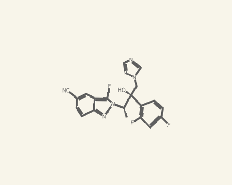 C[C@@H](n1nc2ccc(C#N)cc2c1F)[C@](O)(Cn1cncn1)c1ccc(F)cc1F